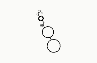 FC(F)(F)Oc1ccc(CBC2CCCCCCC(C3CCCCCCCCCCCCCC3)CCCCC2)cc1